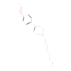 CCCCCCCCC1CC=C(c2ccc(OCC)cc2)CC1